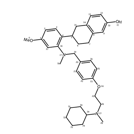 COc1ccc(C2CCc3cc(O)ccc3C2)c(N(C)Cc2ccc(OCCN(C)C3CCCCC3)cc2)c1